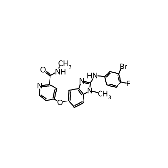 CNC(=O)c1cc(Oc2ccc3c(c2)nc(Nc2ccc(F)c(Br)c2)n3C)ccn1